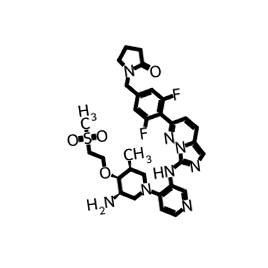 C[C@H]1CN(c2ccncc2Nc2ncc3ccc(-c4c(F)cc(CN5CCCC5=O)cc4F)nn23)C[C@@H](N)[C@H]1OCCS(C)(=O)=O